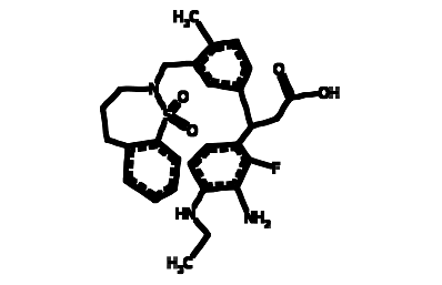 CCNc1ccc(C(CC(=O)O)c2ccc(C)c(CN3CCCc4ccccc4S3(=O)=O)c2)c(F)c1N